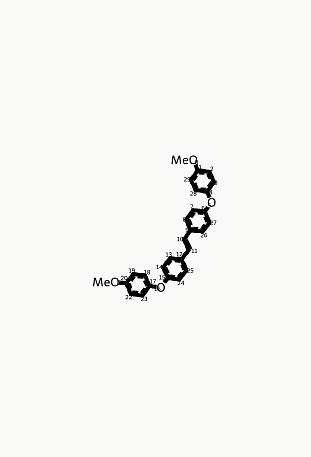 COc1ccc(Oc2ccc(/C=C/c3ccc(Oc4ccc(OC)cc4)cc3)cc2)cc1